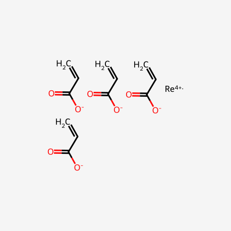 C=CC(=O)[O-].C=CC(=O)[O-].C=CC(=O)[O-].C=CC(=O)[O-].[Re+4]